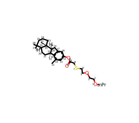 CCCOCCOCCSCC(=O)Oc1cc(C)c2c(c1)C[C@@H]1[C@@]3(C)CCCC(C)(C)[C@@H]3CC[C@]21C